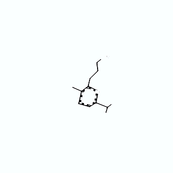 COCCCc1nc(C(F)F)ccc1C(=O)O